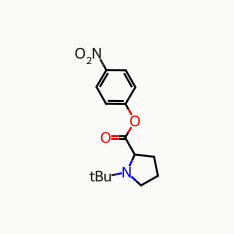 CC(C)(C)N1CCCC1C(=O)Oc1ccc([N+](=O)[O-])cc1